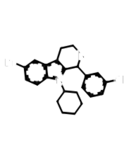 Clc1cccc(C2NCCc3c2n(C2CCCCC2)c2ccc(Br)cc32)c1